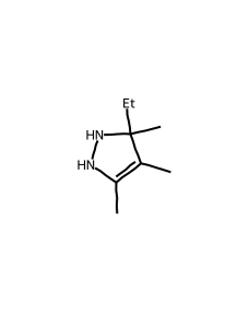 CCC1(C)NNC(C)=C1C